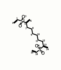 C=CS(=O)(=O)C(=C)CCCCCCC(=C)S(=O)(=O)C=C